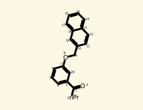 CCCC(=O)c1cccc(OCc2ccc3ccccc3c2)c1